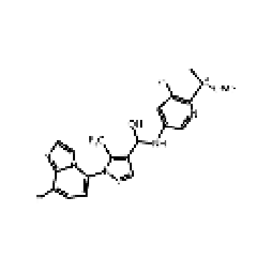 CO[C@@H](C)c1ncc(NC(O)c2cnn(-c3ccc(F)c4nccn34)c2C(F)(F)F)cc1Cl